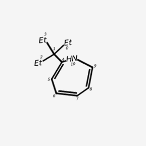 CCC(CC)(CC)C1=CC=CC=CN1